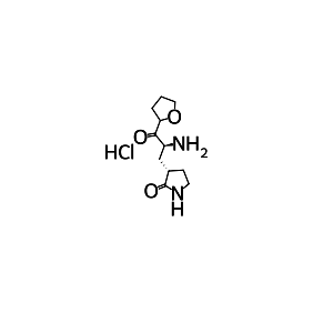 Cl.N[C@@H](C[C@@H]1CCNC1=O)C(=O)C1CCCO1